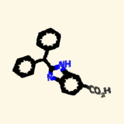 O=C(O)c1ccc2nc(C(c3ccccc3)c3ccccc3)[nH]c2c1